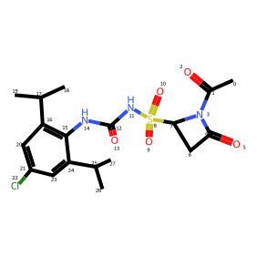 CC(=O)N1C(=O)CC1S(=O)(=O)NC(=O)Nc1c(C(C)C)cc(Cl)cc1C(C)C